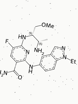 CCn1ncc2cc(Nc3nc(N[C@H](COC)[C@H](C)N)c(F)cc3C(N)=O)ccc21